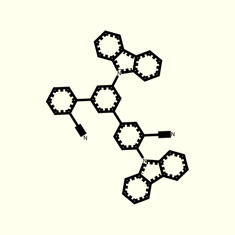 N#Cc1ccccc1-c1cc(-c2ccc(-n3c4ccccc4c4ccccc43)c(C#N)c2)cc(-n2c3ccccc3c3ccccc32)c1